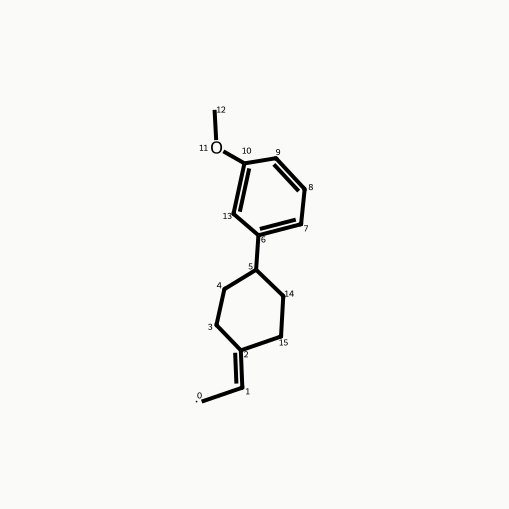 [CH2]C=C1CCC(c2cccc(OC)c2)CC1